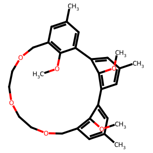 COc1c2cc(C)cc1-c1cc(C)cc(c1OC)-c1cc(C)cc(c1OC)COCCOCCOC2